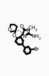 CN1C(=O)[C@@]2(C[C@]3(CCCOC3)Oc3ccc(-c4cccc(Br)c4)cc32)N=C1N